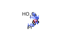 Cc1ccc2c(NCC(C)C)cccc2c1Oc1ncccc1-c1ccnc(NC2CCCN(C(=O)O)C2)n1